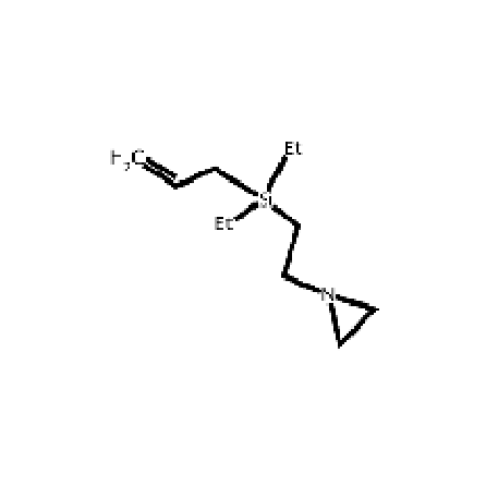 C=CC[Si](CC)(CC)CCN1CC1